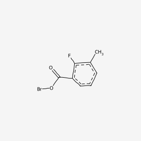 Cc1cccc(C(=O)OBr)c1F